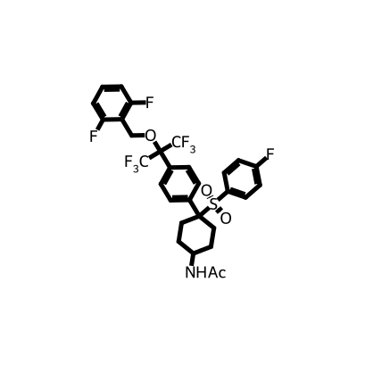 CC(=O)NC1CCC(c2ccc(C(OCc3c(F)cccc3F)(C(F)(F)F)C(F)(F)F)cc2)(S(=O)(=O)c2ccc(F)cc2)CC1